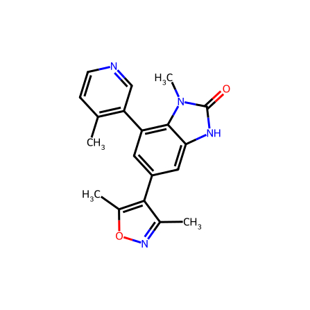 Cc1ccncc1-c1cc(-c2c(C)noc2C)cc2[nH]c(=O)n(C)c12